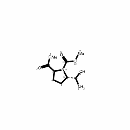 COC(=O)C1CC[C@@H](C(C)O)N1C(=O)OC(C)(C)C